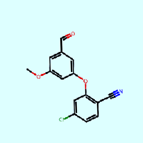 COc1cc(C=O)cc(Oc2cc(Cl)ccc2C#N)c1